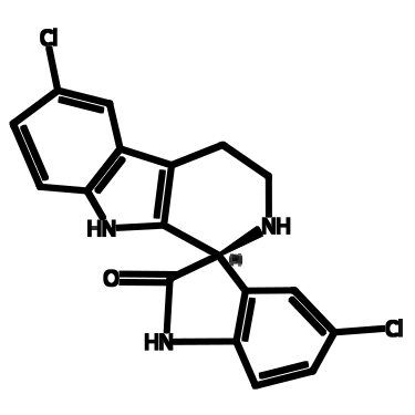 O=C1Nc2ccc(Cl)cc2[C@]12NCCc1c2[nH]c2ccc(Cl)cc12